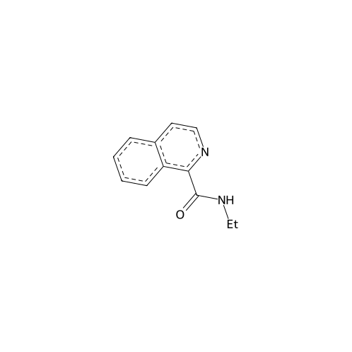 CCNC(=O)c1nccc2ccccc12